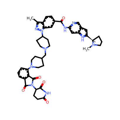 Cc1nn(C2CCN(CC3CCN(c4cccc5c4C(=O)N(C4CCC(=O)NC4=O)C5=O)CC3)CC2)c2cc(C(=O)Nc3cc4[nH]c([C@H]5CCCN5C)cc4cn3)ccc12